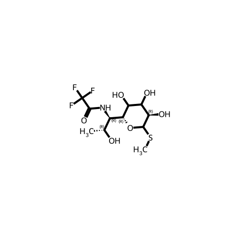 CSC1O[C@H]([C@H](NC(=O)C(F)(F)F)[C@@H](C)O)C(O)C(O)[C@H]1O